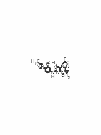 COc1cc(Nc2ncc3c(n2)N(C)C2(CC2)C(=O)N3CC(F)F)ccc1-n1cnc(C)c1